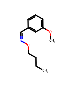 CCCCO/N=[C]\c1cccc(OC)c1